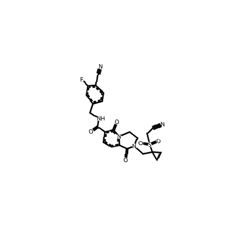 N#CCS(=O)(=O)C1(CN2CCn3c(ccc(C(=O)NCc4ccc(C#N)c(F)c4)c3=O)C2=O)CC1